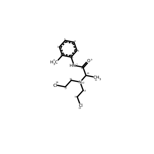 Cc1ccccc1NC(=O)C(C)N(CCCl)CCCl